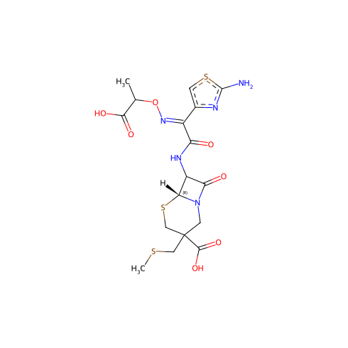 CSCC1(C(=O)O)CS[C@@H]2C(NC(=O)C(=NOC(C)C(=O)O)c3csc(N)n3)C(=O)N2C1